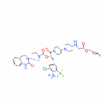 CCOC(=O)CNC1CCN(C2CCN(C(=O)[C@@H](Cc3cc(Cl)c(N)c(C(F)(F)F)c3)OC(=O)N3CCC(N4CCc5ccccc5NC4=O)CC3)CC2)CC1